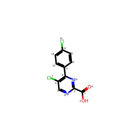 O=C(O)c1ncc(Cl)c(-c2ccc(Cl)cc2)n1